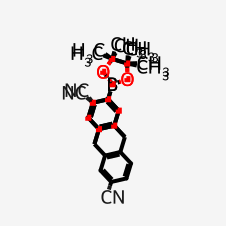 CC1(C)OB(c2cc3c(cc2C#N)C2c4cc(C#N)ccc4C3c3cc(B4OC(C)(C)C(C)(C)O4)c(C#N)cc32)OC1(C)C